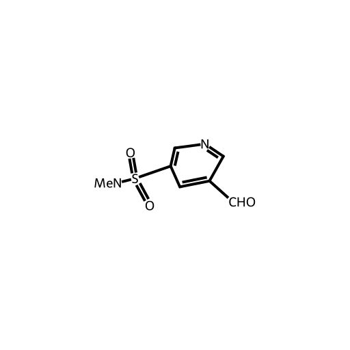 CNS(=O)(=O)c1cncc(C=O)c1